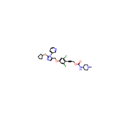 CN1CCC(NC(=O)OCC#Cc2c(F)cc(OCc3cnc(SC4CCCC4)n3-c3cccnc3)cc2F)CC1